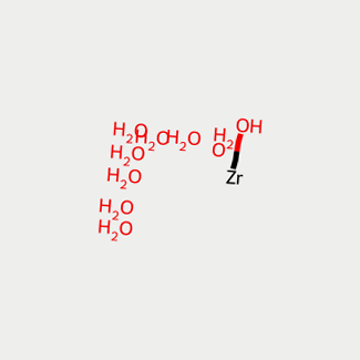 O.O.O.O.O.O.O.O.[OH][Zr]